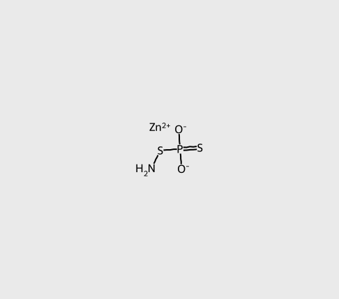 NSP([O-])([O-])=S.[Zn+2]